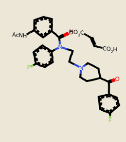 CC(=O)Nc1cccc(C(=O)N(CCN2CCC(C(=O)c3ccc(F)cc3)CC2)c2ccc(F)cc2)c1.O=C(O)C=CC(=O)O